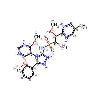 COc1ncnc(OC)c1-n1c(NS(=O)(=O)C(C)C(OC)c2ncc(C)cn2)nnc1-c1ccccc1